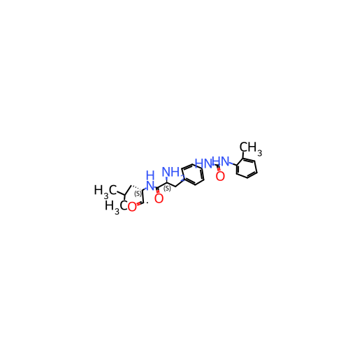 Cc1ccccc1NC(=O)Nc1ccc(C[C@H](N)C(=O)N[C@H]([C]=O)CC(C)C)cc1